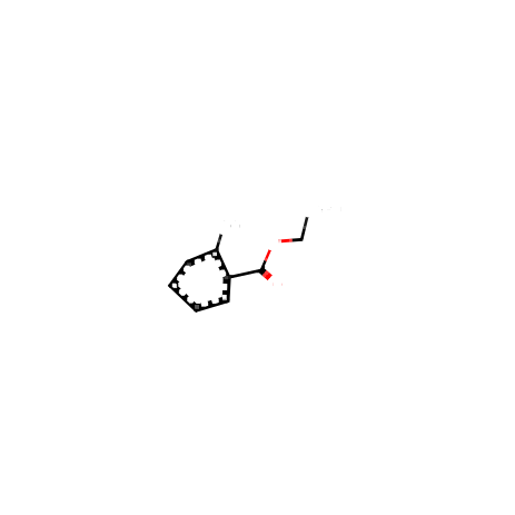 CCCC(C)COC(=O)c1ccccc1C(=O)O